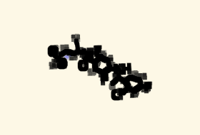 CC(Nc1cc(F)c(C(=O)N[C@H](C)/C=C/S(C)(=O)=O)cc1F)c1ccc(F)cc1Cl